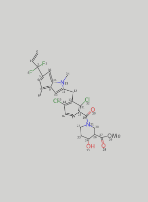 C=CC(F)(F)c1cc(C)c2cc(Cc3c(Cl)ccc(C(=O)N4CCC(O)C(C(=O)OC)C4)c3Cl)n(C)c2c1